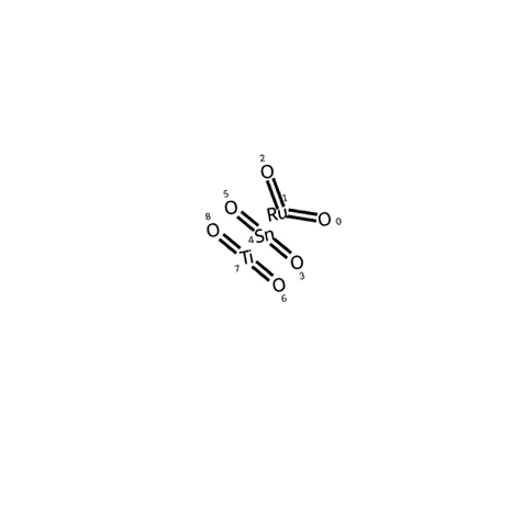 [O]=[Ru]=[O].[O]=[Sn]=[O].[O]=[Ti]=[O]